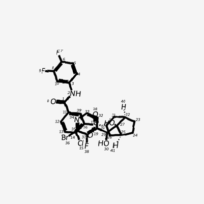 O=C(Nc1ccc(F)c(F)c1)c1ccc(Cl)c(S(=O)(=O)[C@@H]2C[C@H]3CC[C@@H](C2)[C@@]3(O)C(O)c2ccnc(Br)c2F)c1